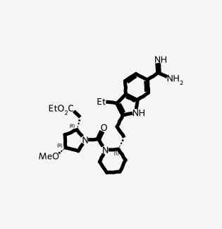 CCOC(=O)C[C@H]1C[C@@H](OC)CN1C(=O)N1CCCC[C@H]1CCc1[nH]c2cc(C(=N)N)ccc2c1CC